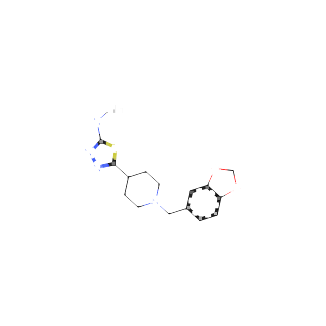 CCCNc1nnc(C2CCN(Cc3ccc4c(c3)OCO4)CC2)s1